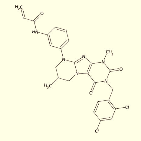 C=CC(=O)Nc1cccc(N2CC(C)Cn3c2nc2c3c(=O)n(Cc3ccc(Cl)cc3Cl)c(=O)n2C)c1